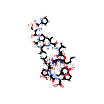 CC[C@H](C)[C@H](NC(=O)[C@@H]1CCCN1C(=O)CNC(=O)[C@@H]1CCCN1C(=O)[C@H](CC(C)C)NC(=O)[C@@H](NC(=O)[C@@H](NC(=O)[C@@H](NC(=O)[C@@H](NC(=O)[C@@H]1CCCN1C(=O)[C@H](CO)NC(=O)[C@@H]1CCCN1)C(C)C)C(C)C)C(C)C)[C@@H](C)O)C(=O)N[C@@H](CC(C)C)C(=O)N[C@@H](CO)C(=O)N[C@@H](CO)C(=O)N[C@@H](Cc1ccccc1)C(=O)O